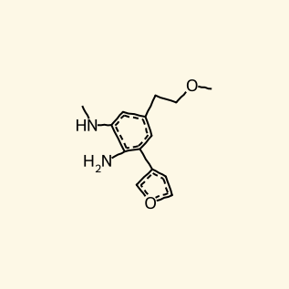 CNc1cc(CCOC)cc(-c2ccoc2)c1N